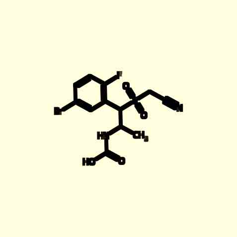 CC(NC(=O)O)C(c1cc(Br)ccc1F)S(=O)(=O)CC#N